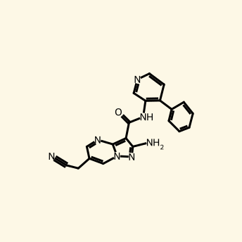 N#CCc1cnc2c(C(=O)Nc3cnccc3-c3ccccc3)c(N)nn2c1